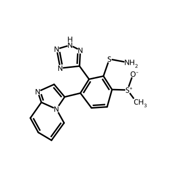 C[S+]([O-])c1ccc(-c2cnc3ccccn23)c(-c2nn[nH]n2)c1SN